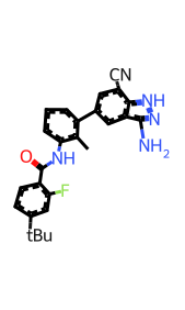 Cc1c(NC(=O)c2ccc(C(C)(C)C)cc2F)cccc1-c1cc(C#N)c2[nH]nc(N)c2c1